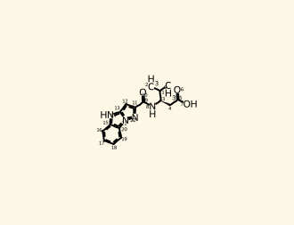 CC(C)[C@@H](CC(=O)O)NC(=O)c1cc2[nH]c3ccccc3n2n1